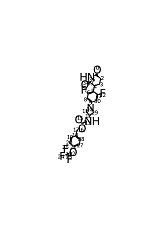 O=C1CCC(c2c(F)cc(N3CC(NC(=O)OCc4ccc(OC(F)(F)F)cc4)C3)cc2F)C(=O)N1